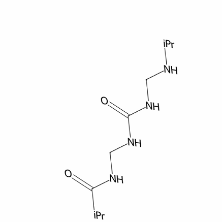 CC(C)NCNC(=O)NCNC(=O)C(C)C